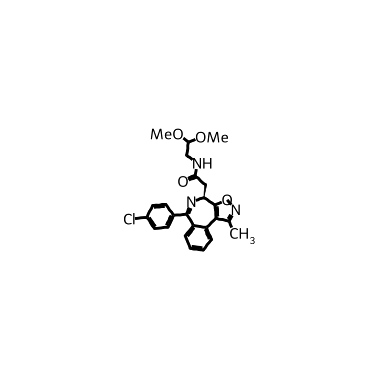 COC(CNC(=O)C[C@@H]1N=C(c2ccc(Cl)cc2)c2ccccc2-c2c(C)noc21)OC